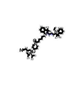 CC[N+]1=C(/C=C/C=C2/N(CCCCCC(=O)N3CCC(OP(CCCC#N)N(C(C)C)C(C)C)CC3)c3ccccc3C2(C)C)C(C)(C)c2ccccc21